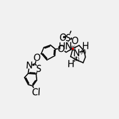 CS(=O)(=O)N[C@H]1C[C@H]2CC[C@@H](C1)N2CCOc1ccc(Oc2nc3ccc(Cl)cc3s2)cc1